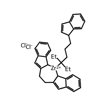 CC[C](CC)(CCCC1C=Cc2ccccc21)[Zr+2]1[CH]2C(=Cc3ccccc32)CCC2=Cc3ccccc3[CH]21.[Cl-].[Cl-]